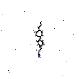 CCCC1CCC(c2ccc(/C=C/C#N)cc2)CC1